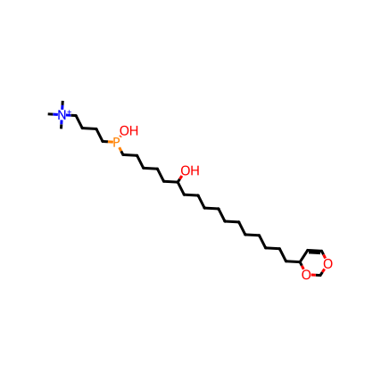 C[N+](C)(C)CCCCP(O)CCCCCC(O)CCCCCCCCCCCC1C=COCO1